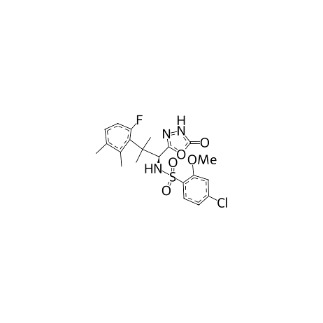 COc1cc(Cl)ccc1S(=O)(=O)N[C@H](c1n[nH]c(=O)o1)C(C)(C)c1c(F)ccc(C)c1C